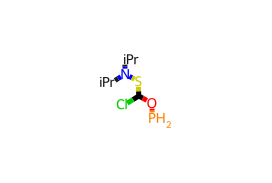 CC(C)N(SC(Cl)OP)C(C)C